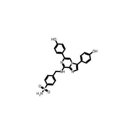 NS(=O)(=O)c1ccc(CNc2nc(-c3ccc(O)cc3)cn3c(-c4ccc(O)cc4)cnc23)cc1